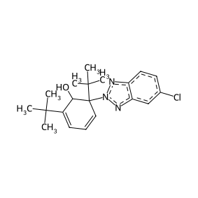 CC(C)(C)C1=CC=CC(n2nc3ccc(Cl)cc3n2)(C(C)(C)C)C1O